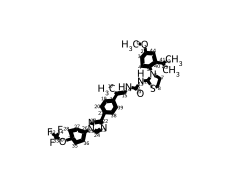 COc1ccc(N2CCSC2NC(=O)N/C=C(\C)c2ccc(-c3ncn(-c4ccc(OC(F)(F)F)cc4)n3)cc2)c(C(C)C)c1